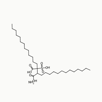 CCCCCCCCCCCCCC(C(=O)O)C(CCCCCCCCCCCCC)(C(=O)O)S(=O)(=O)O.N